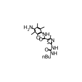 CCCCNC(=O)Nc1nc(C)c(C(=O)Nc2c(C)c(C)c(N)c(C)c2Cl)s1